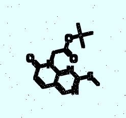 CSc1ncc2ccc(=O)n(CC(=O)OC(C)(C)C)c2n1